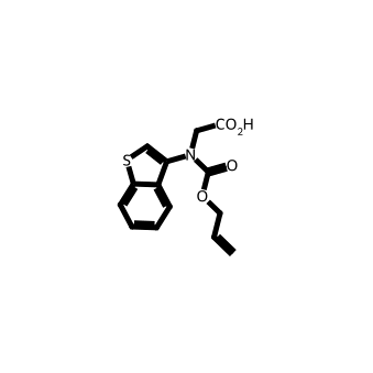 C=CCOC(=O)N(CC(=O)O)c1csc2ccccc12